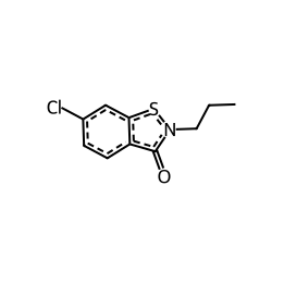 CCCn1sc2cc(Cl)ccc2c1=O